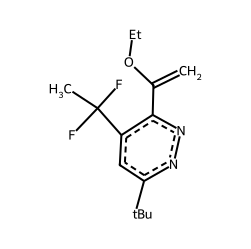 C=C(OCC)c1nnc(C(C)(C)C)cc1C(C)(F)F